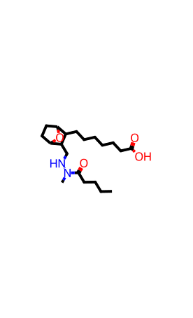 CCCCC(=O)N(C)NCC1C2CCC(O2)C1CCCCCCC(=O)O